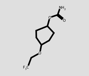 NC(=O)OC1CCC(OCC(F)(F)F)CC1